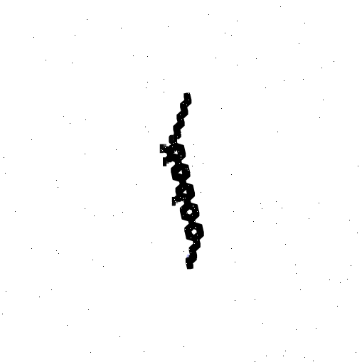 C/C=C/CCC1CCC(C2CCC(c3ccc(-c4ccc(-c5ccc(OCCCCCCCC)c(F)c5F)cc4)cc3F)CC2)CC1